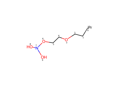 CC(C)CCOCCON(O)O